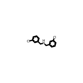 Clc1cccc(CNCc2cccc(Cl)c2)c1